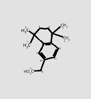 CC1(C)CCC(C)(C)c2cc(CC(=O)O)ccc21